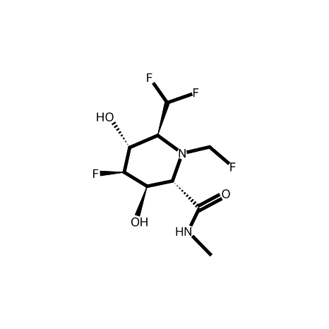 CNC(=O)[C@@H]1[C@@H](O)[C@@H](F)[C@H](O)[C@@H](C(F)F)N1CF